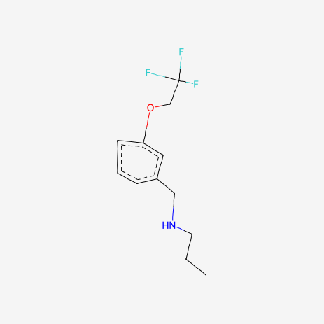 CCCNCc1cccc(OCC(F)(F)F)c1